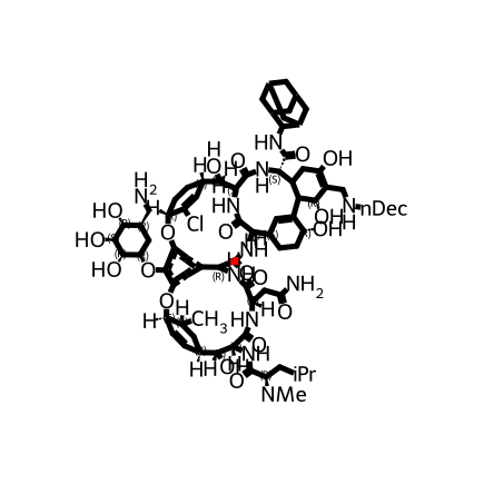 CCCCCCCCCCNCC1=C(O)CC2C(C3=C[C@H](CC[C@H]3O)[C@H]3NC(=O)[C@@H]4NC(=O)[C@H](CC(N)=O)NC(=O)[C@H](NC(=O)[C@@H](CC(C)C)NC)[C@H](O)[C@H]5C=C[C@@H](Oc6cc4cc(c6O[C@@H]4C[C@H](CN)[C@@H](O)[C@H](O)[C@H]4O)O[C@@H]4CC[C@@H](C=C4Cl)[C@@H](O)[C@H](NC3=O)C(=O)N[C@@H]2C(=O)NC2C3CC4CC(C3)CC2C4)[C@H](C)C5)[C@H]1O